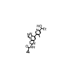 CCC(O)c1cc(C)c(-c2cc3nc(NC(=O)C4CC4)sc3n3cnnc23)cn1